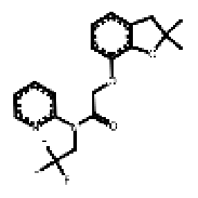 CC1(C)Cc2cccc(OCC(=O)N(CC(F)(F)F)c3ccccn3)c2O1